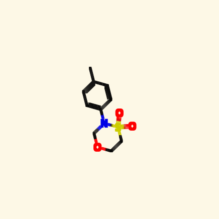 Cc1ccc(N2COCCS2(=O)=O)cc1